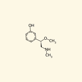 CNC[C@H](OC)c1cccc(O)c1